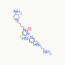 NCCCNCc1ccc(Nc2nc(=O)n(CCCCN3CCC(N)CC3)cc2F)nc1